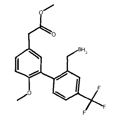 BCc1cc(C(F)(F)F)ccc1-c1cc(CC(=O)OC)ccc1OC